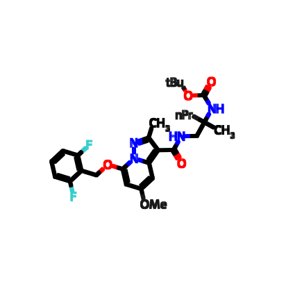 CCCC(C)(CNC(=O)c1c(C)nn2c(OCc3c(F)cccc3F)cc(OC)cc12)NC(=O)OC(C)(C)C